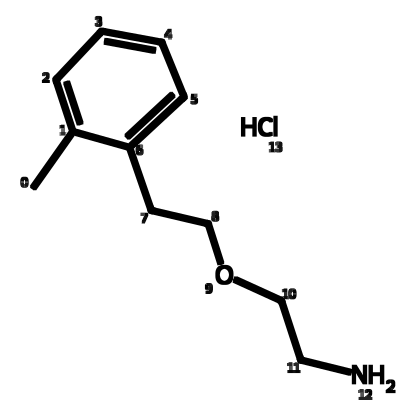 Cc1ccccc1CCOCCN.Cl